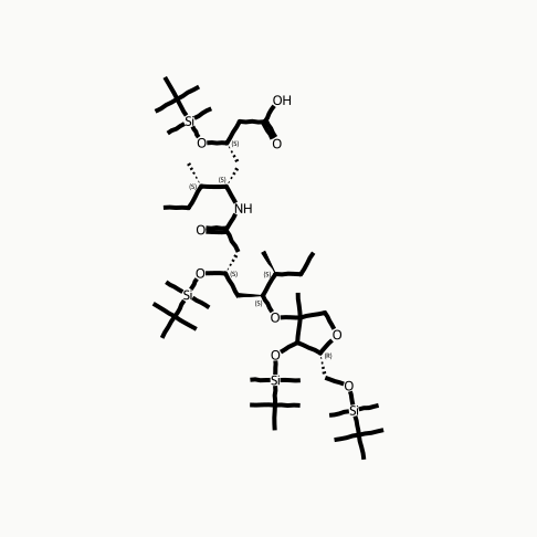 CC[C@H](C)[C@H](C[C@@H](CC(=O)O)O[Si](C)(C)C(C)(C)C)NC(=O)C[C@H](C[C@H](OC1(C)CO[C@H](CO[Si](C)(C)C(C)(C)C)C1O[Si](C)(C)C(C)(C)C)[C@@H](C)CC)O[Si](C)(C)C(C)(C)C